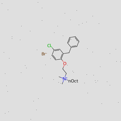 CCCCCCCC[N+](C)(C)CCOc1ccc(Cl)cc1Cc1ccccc1.[Br-]